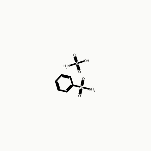 NS(=O)(=O)O.NS(=O)(=O)c1ccccc1